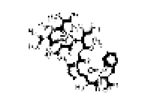 CC[C@H](C)[C@@H]([C@@H](CC(=O)N1CCC[C@H]1[C@H](OC)[C@@H](C)C(=O)N[C@@H](Cc1ccccc1)C(=O)O)OC)N(C)C(=O)[C@@H](NC(=O)[C@H](C(C)C)N(C)C(=O)[C@@H](N)CO)C(C)C